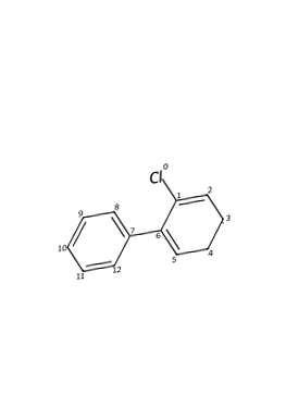 ClC1=C[CH]CC=C1c1ccccc1